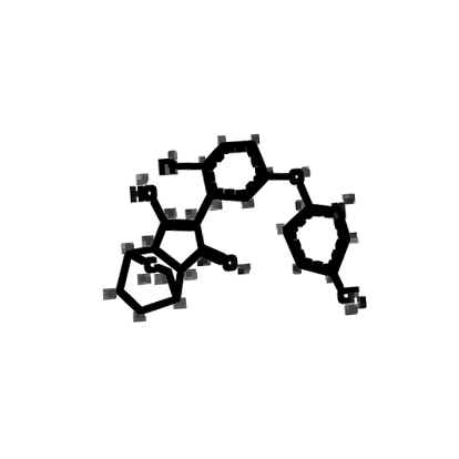 CCc1ccc(Oc2ccc(C(F)(F)F)cn2)cc1C1=C(O)C2C3CCC(CC3)C2C1=O